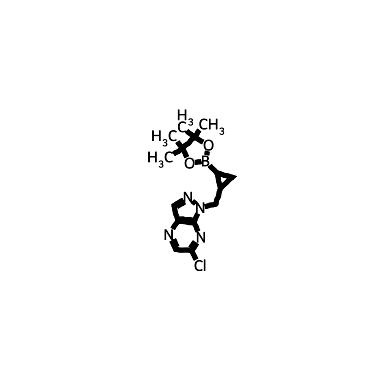 CC1(C)OB(C2CC2Cn2ncc3ncc(Cl)nc32)OC1(C)C